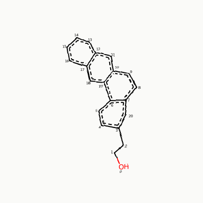 OCCc1ccc2c(ccc3cc4ccccc4cc32)c1